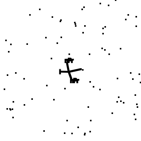 CCCC(C)(I)CCC